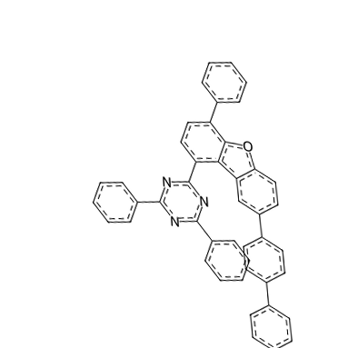 c1ccc(-c2ccc(-c3ccc4oc5c(-c6ccccc6)ccc(-c6nc(-c7ccccc7)nc(-c7ccccc7)n6)c5c4c3)cc2)cc1